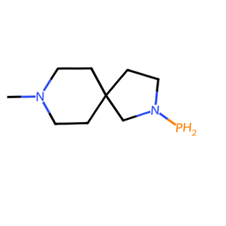 CN1CCC2(CC1)CCN(P)C2